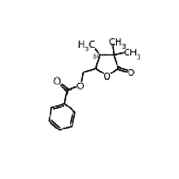 C[C@@H]1C(COC(=O)c2ccccc2)OC(=O)C1(C)C